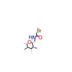 C[C@@H]1[C@@H](C)[C@H](C)O[C@H](CNC(=O)CBr)[C@H]1C